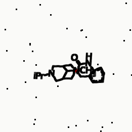 CC(C)N1CC2CN(C)CC(C1)C2N1Cc2ccccc2NC1=O